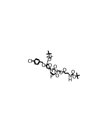 CC(C)(C)OC(=O)NCCC(=O)OCn1c(=O)c(F)cn([C@H]2C[C@H](OCc3ccc(Cl)cc3)[C@@H](CO[Si](C)(C)C(C)(C)C)O2)c1=O